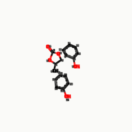 CC1COC(=O)O1.Oc1ccccc1.Oc1ccccc1